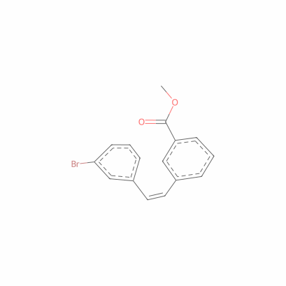 COC(=O)c1cccc(/C=C\c2cccc(Br)c2)c1